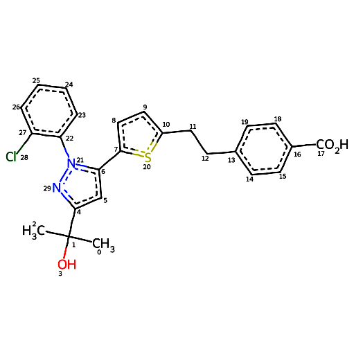 CC(C)(O)c1cc(-c2ccc(CCc3ccc(C(=O)O)cc3)s2)n(-c2ccccc2Cl)n1